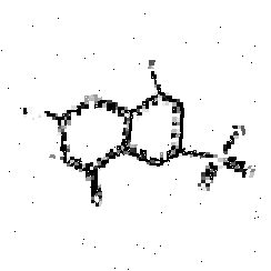 Cc1nc2c(F)cc(S(=O)(=O)Cl)cc2c(=O)[nH]1